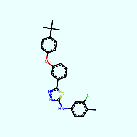 Cc1ccc(Nc2nnc(-c3cccc(Oc4ccc(C(C)(C)C)cc4)c3)s2)cc1Cl